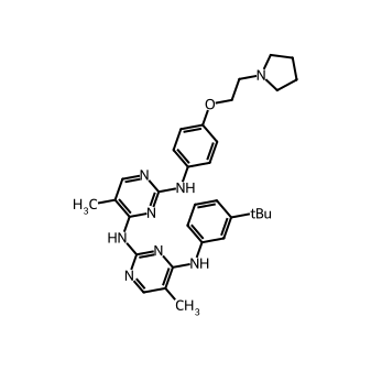 Cc1cnc(Nc2nc(Nc3ccc(OCCN4CCCC4)cc3)ncc2C)nc1Nc1cccc(C(C)(C)C)c1